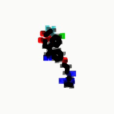 O=C(CC(c1ccc(Cl)cc1)c1c[nH]c2cc(OCCCNc3ncc[nH]3)ccc12)OC(=O)C(F)(F)F